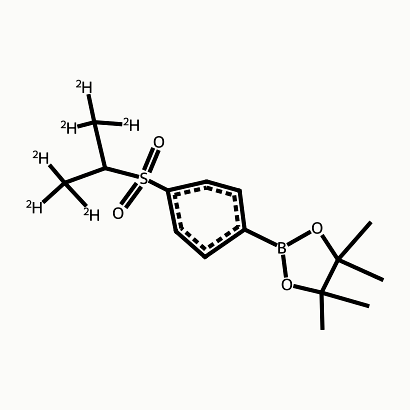 [2H]C([2H])([2H])C(C([2H])([2H])[2H])S(=O)(=O)c1ccc(B2OC(C)(C)C(C)(C)O2)cc1